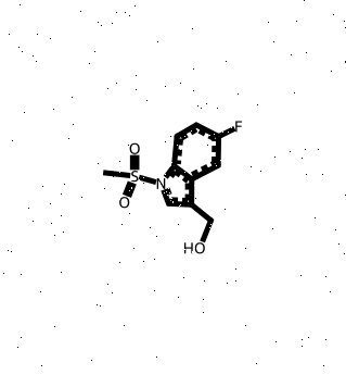 CS(=O)(=O)n1cc(CO)c2cc(F)ccc21